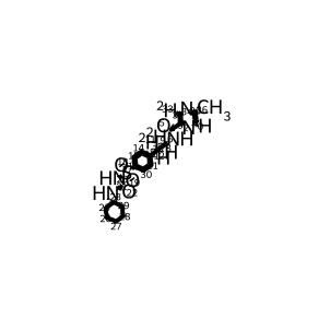 [2H]c1nc(C(=O)NC([2H])([2H])C([2H])([2H])c2ccc(S(=O)(=O)NC(=O)NC3CCCCC3)cc2)c([2H])nc1C